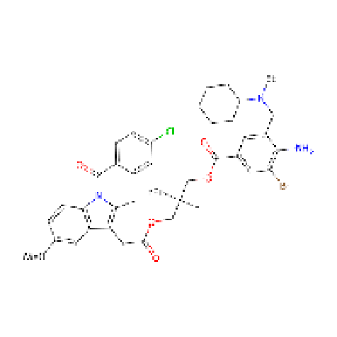 CCCC(C)(COC(=O)Cc1c(C)n(C(=O)c2ccc(Cl)cc2)c2ccc(OC)cc12)COC(=O)c1cc(Br)c(N)c(CN(CC)C2CCCCC2)c1